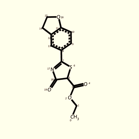 CCOC(=O)C1SC(c2ccc3c(c2)CCO3)=NC1=O